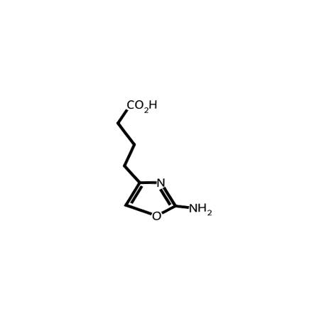 Nc1nc(CCCC(=O)O)co1